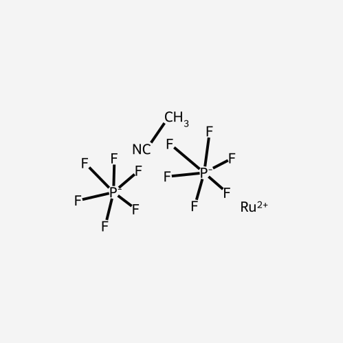 CC#N.F[P-](F)(F)(F)(F)F.F[P-](F)(F)(F)(F)F.[Ru+2]